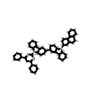 c1ccc(-c2cc(-c3ccccc3)nc(-n3c4ccccc4c4cc(-c5ccc6c(c5)c5ccccc5n6-c5ccc6c(ccc7ccccc76)c5)ccc43)n2)cc1